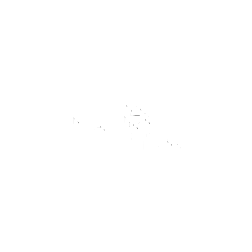 CN1CC(OC(=O)N2CCC(Cc3nc(N)c4ncn([C@@H]5O[C@H](C(=O)NC6CC6)C(O)C5O)c4n3)CC2)CC1=O